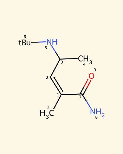 CC(=CC(C)NC(C)(C)C)C(N)=O